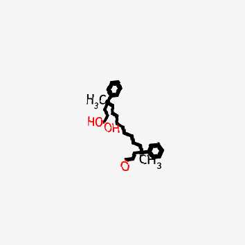 CC(CCC=O)(CCCCCCCCCC(C)(CCC(O)O)c1ccccc1)c1ccccc1